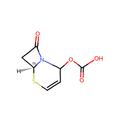 O=C(O)OC1C=CS[C@H]2CC(=O)N12